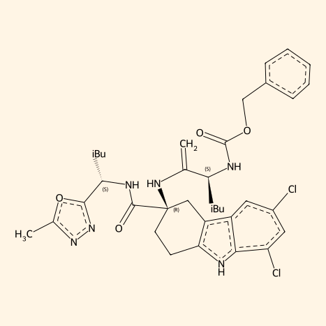 C=C(N[C@]1(C(=O)N[C@H](c2nnc(C)o2)C(C)CC)CCc2[nH]c3c(Cl)cc(Cl)cc3c2C1)[C@@H](NC(=O)OCc1ccccc1)C(C)CC